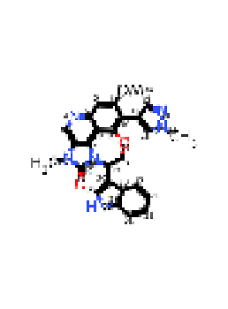 COc1cc2ncc3c4c2c(c1-c1cnn(C)c1)OCC(C1=CNC2C=CC=CC12)n4c(=O)n3C